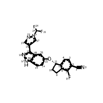 N#Cc1ccc2c(c1F)CC[C@@H]2Oc1ccc2[nH]nc(-c3cnn(C(F)F)c3)c2c1